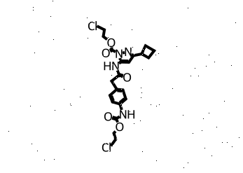 O=C(Cc1ccc(NC(=O)OCCCl)cc1)Nc1cc(C2CCC2)nn1C(=O)OCCCl